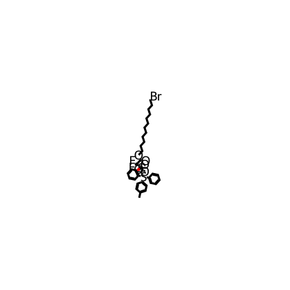 Cc1ccc(S(OS(=O)(=O)C(F)(F)C(=O)OCCCCCCCCCCCCBr)(c2ccccc2)c2ccccc2)cc1